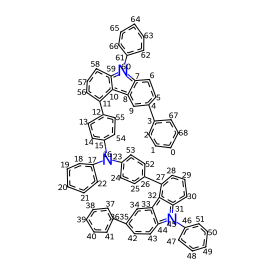 c1ccc(-c2ccc3c(c2)c2c(-c4ccc(N(c5ccccc5)c5ccc(-c6cccc7c6c6cc(-c8ccccc8)ccc6n7-c6ccccc6)cc5)cc4)cccc2n3-c2ccccc2)cc1